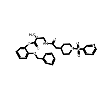 C[C@@H](CNC(=O)CC1CCN(S(=O)(=O)c2cccnc2)CC1)C(=O)Oc1ccccc1OCc1ccccc1